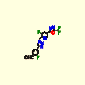 O=Cc1ccc(-c2cn(Cc3ncc(-c4nnc(C(F)F)o4)cc3F)nn2)cc1F